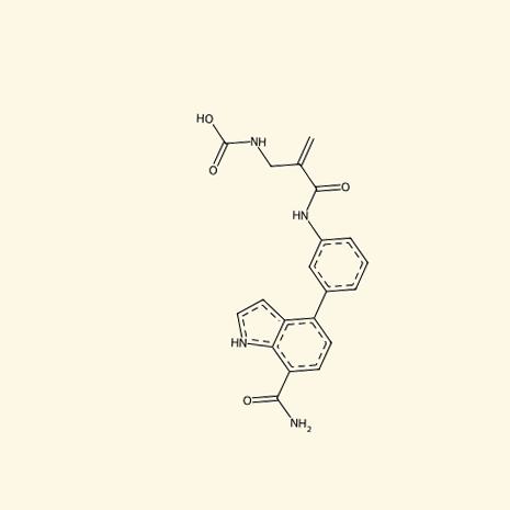 C=C(CNC(=O)O)C(=O)Nc1cccc(-c2ccc(C(N)=O)c3[nH]ccc23)c1